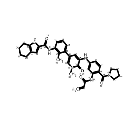 C=CC(=O)Nc1cc(Nc2cc(-c3cccc(NC(=O)c4cc5c(s4)CCCC5)c3C)cn(C)c2=O)ccc1C(=O)N1CCCC1